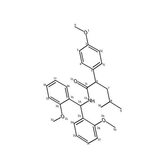 COc1ccc(C(CC(C)C)C(=O)NC(c2ccccc2OC)c2ccccc2OC)cc1